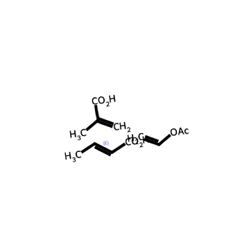 C/C=C/C(=O)O.C=C(C)C(=O)O.C=COC(C)=O